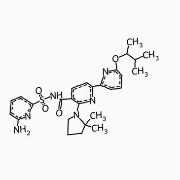 CC(C)C(C)Oc1cccc(-c2ccc(C(=O)NS(=O)(=O)c3cccc(N)n3)c(N3CCCC3(C)C)n2)n1